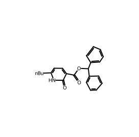 CCCCc1ccc(C(=O)OC(c2ccccc2)c2ccccc2)c(=O)[nH]1